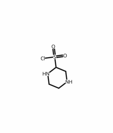 O=S(=O)(Cl)C1CNCCN1